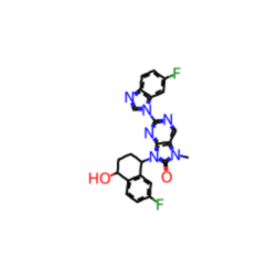 Cn1c(=O)n(C2CCC(O)c3ccc(F)cc32)c2nc(-n3cnc4ccc(F)cc43)ncc21